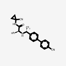 CCC[C@H](N[C@@H](c1ccc(-c2ccc(C#N)cc2)cc1)C(F)(F)F)C(=O)NC1(C#N)CC1